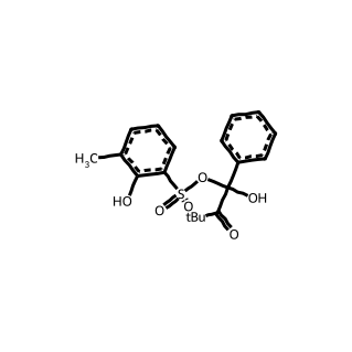 Cc1cccc(S(=O)(=O)OC(O)(C(=O)C(C)(C)C)c2ccccc2)c1O